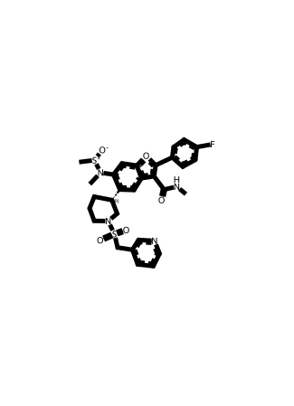 CNC(=O)c1c(-c2ccc(F)cc2)oc2cc(N(C)[S+](C)[O-])c([C@H]3CCCN(S(=O)(=O)Cc4cccnc4)C3)cc12